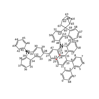 c1ccc(-c2ccccc2-c2ccccc2-c2ccccc2N(c2cccc(-c3ccc4c(c3)c3ccccc3n4-c3ccccc3)c2)c2cccc3c2-c2ccccc2C32CC3CCC2C3)cc1